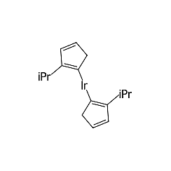 CC(C)C1=[C]([Ir][C]2=C(C(C)C)C=CC2)CC=C1